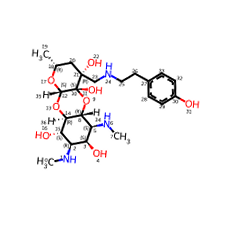 CN[C@@H]1[C@H](O)[C@H](NC)[C@H]2O[C@]3(O)[C@H](O[C@@H]2[C@H]1O)O[C@H](C)C[C@@]3(O)CNCCc1ccc(O)cc1